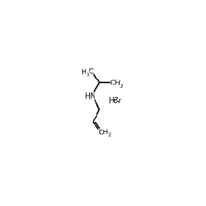 Br.C=CCNC(C)C